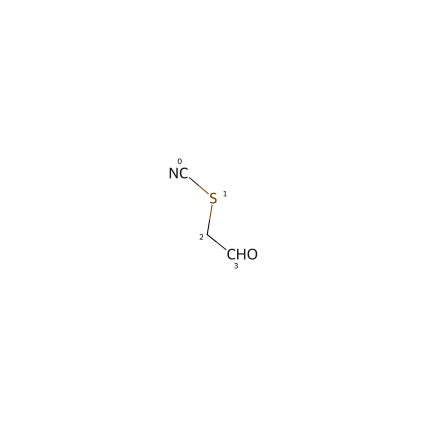 N#CSCC=O